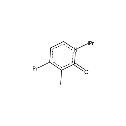 Cc1c(C(C)C)ccn(C(C)C)c1=O